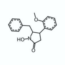 COc1ccccc1C1CC(=O)N(O)C1Cc1ccccc1